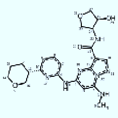 CNc1cc(Nc2cccc([C@H]3CCCOC3)n2)nc2c(C(=O)NC3COC[C@H]3O)cnn12